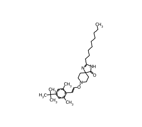 CCCCCCCCCC1=NC2(CCN(O/C=C/c3c(C)cc(C(C)(C)C)cc3C)CC2)C(=O)N1